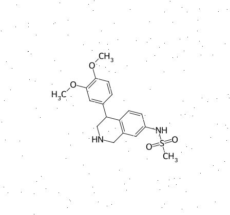 COc1ccc(C2CNCc3cc(NS(C)(=O)=O)ccc32)cc1OC